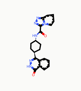 O=C(N[C@H]1CC[C@H](c2n[nH]c(=O)c3ccccc32)CC1)c1nnc2ccccn12